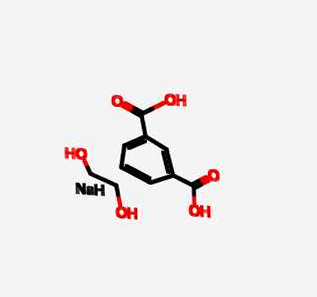 O=C(O)c1cccc(C(=O)O)c1.OCCO.[NaH]